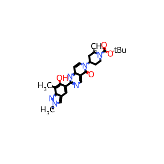 Cc1c(O)c(-c2ncc3c(=O)n(C4CCN(C(=O)OC(C)(C)C)[C@@H](C)C4)ccc3n2)cc2cn(C)nc12